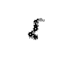 CC(C)(C)Cc1csc(-c2cc3cc(OCc4ccccc4Cc4nnn[nH]4)ccc3o2)n1